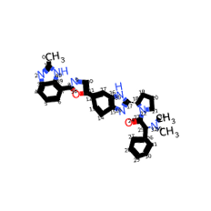 Cc1nc2cccc(-c3ncc(-c4ccc5nc([C@@H]6CCCN6C(=O)[C@@H](c6ccccc6)N(C)C)[nH]c5c4)o3)c2[nH]1